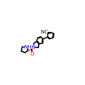 N#Cc1ccccc1-c1ccc2c(c1)CN(C(=O)[C@@H]1CCCN1)C2